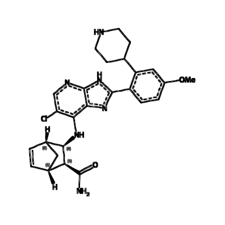 COc1ccc(-c2nc3c(N[C@H]4[C@@H](C(N)=O)[C@@H]5C=C[C@H]4C5)c(Cl)cnc3[nH]2)c(C2CCNCC2)c1